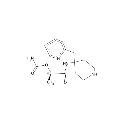 C[C@@H](OC(N)=O)C(=O)NC1(Cc2ccccn2)CCNCC1